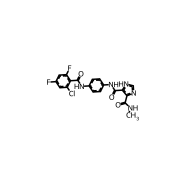 CNC(=O)c1nc[nH]c1C(=O)Nc1ccc(NC(=O)c2c(F)cc(F)cc2Cl)cc1